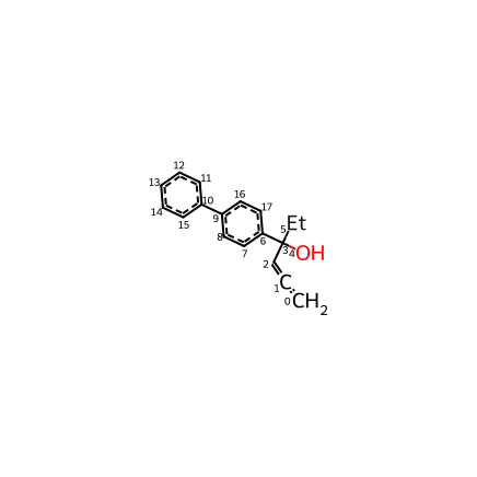 C=C=CC(O)(CC)c1ccc(-c2ccccc2)cc1